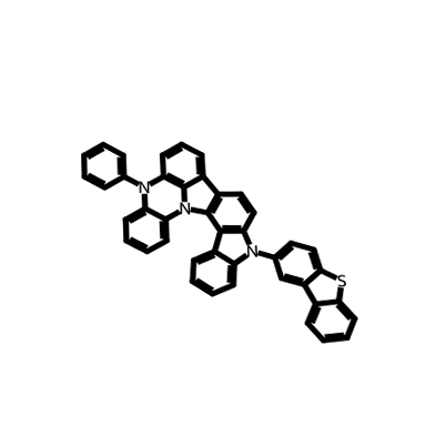 c1ccc(N2c3ccccc3-n3c4c2cccc4c2ccc4c(c5ccccc5n4-c4ccc5sc6ccccc6c5c4)c23)cc1